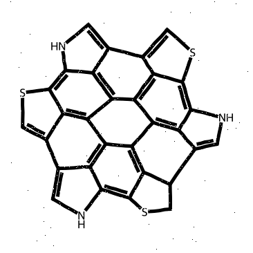 c1[nH]c2c3scc4c5c[nH]c6c7scc8c9c[nH]c%10c%11c%12c%13c(c2c1C%12CS%11)c(c43)c(c56)c(c87)c%13c%109